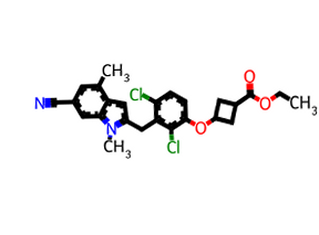 CCOC(=O)C1CC(Oc2ccc(Cl)c(Cc3cc4c(C)cc(C#N)cc4n3C)c2Cl)C1